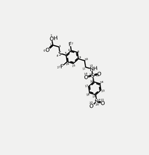 O=C(O)CSc1c(F)cc(CCNS(=O)(=O)c2ccc([N+](=O)[O-])cc2)cc1F